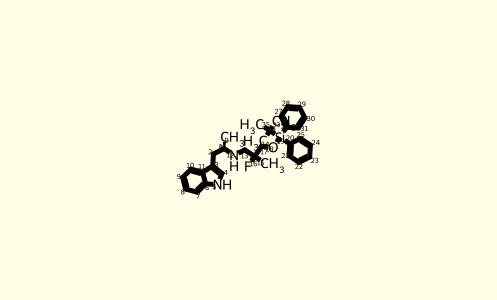 C[C@H](Cc1c[nH]c2ccccc12)NCC(C)(F)CO[Si](c1ccccc1)(c1ccccc1)C(C)(C)C